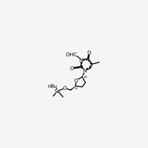 CCCC[Si](C)(C)OC[C@@H]1CC[C@H](n2cc(C)c(=O)n(C=O)c2=O)O1